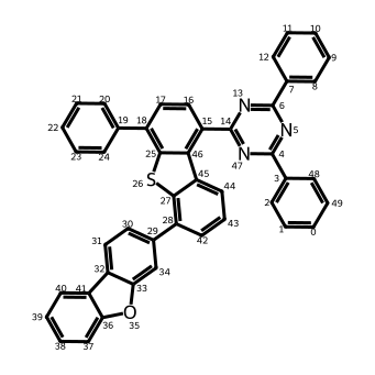 c1ccc(-c2nc(-c3ccccc3)nc(-c3ccc(-c4ccccc4)c4sc5c(-c6ccc7c(c6)oc6ccccc67)cccc5c34)n2)cc1